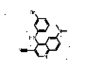 CN(C)c1ccc2ncc(C#N)c(Nc3cccc(Br)c3)c2c1